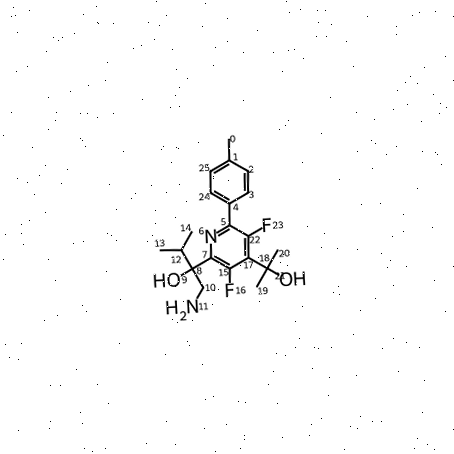 Cc1ccc(-c2nc(C(O)(CN)C(C)C)c(F)c(C(C)(C)O)c2F)cc1